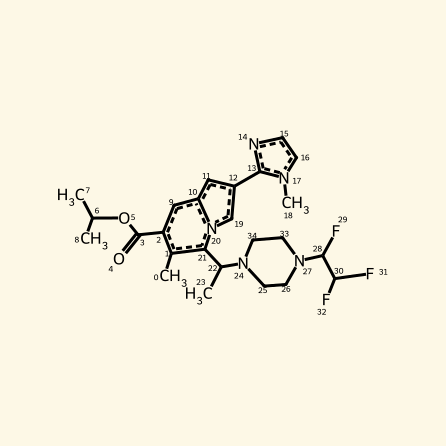 Cc1c(C(=O)OC(C)C)cc2cc(-c3nccn3C)cn2c1C(C)N1CCN(C(F)C(F)F)CC1